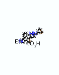 CCN1CCC(c2cc(-c3ccc(NCC4=CSC=CC4)cc3)sc2C(=O)O)=C(C2CCC(C)CC2)C1